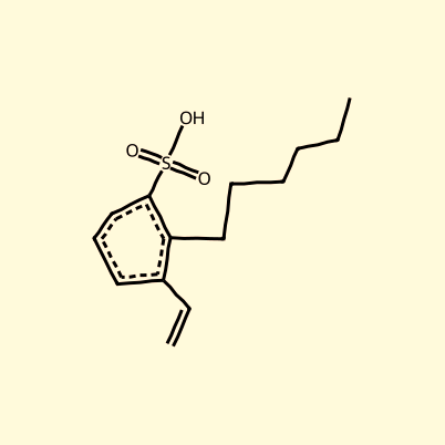 C=Cc1cccc(S(=O)(=O)O)c1CCCCCC